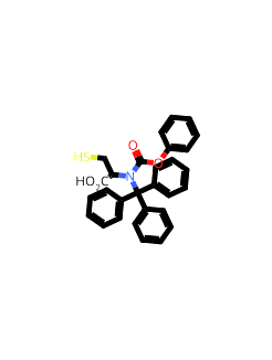 O=C(O)C(CS)N(C(=O)Oc1ccccc1)C(c1ccccc1)(c1ccccc1)c1ccccc1